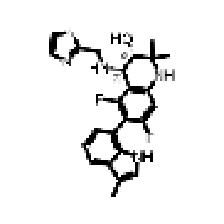 Cc1c[nH]c2c(-c3c(F)cc4c(c3F)[C@@H](NCc3nccs3)[C@H](O)C(C)(C)N4)cccc12